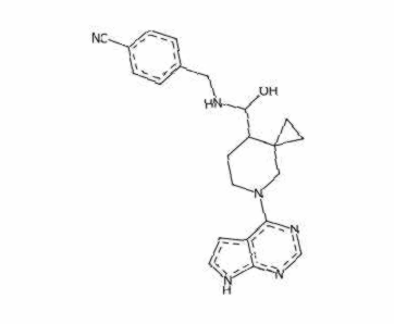 N#Cc1ccc(CNC(O)C2CCN(c3ncnc4[nH]ccc34)CC23CC3)cc1